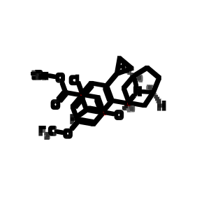 CC(C)(C)OC(=O)c1cc(C2CC2)c(CN2[C@@H]3CC[C@H]2C[C@H](Oc2cc(Cl)cc(OC(F)(F)F)c2)C3)cc1F